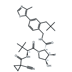 Cc1ncsc1-c1ccc(CNC(=O)[C@@H]2[C@@H](F)[C@@H](O)CN2C(=O)[C@@H](NC(=O)C2(C#N)CC2)C(C)(C)C)c(CC(C)(C)C)c1